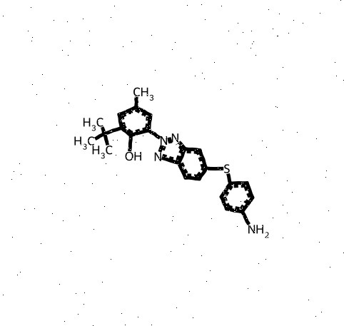 Cc1cc(-n2nc3ccc(Sc4ccc(N)cc4)cc3n2)c(O)c(C(C)(C)C)c1